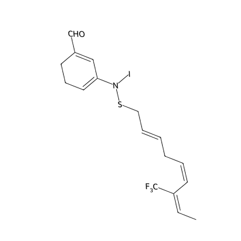 C/C=C(\C=C/C/C=C/CSN(I)C1=CCCC(C=O)=C1)C(F)(F)F